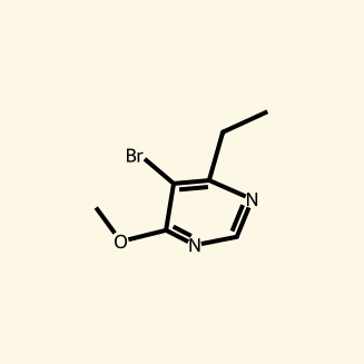 CCc1ncnc(OC)c1Br